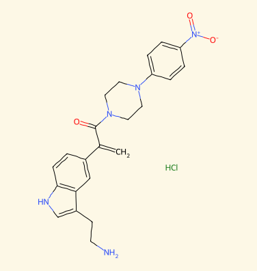 C=C(C(=O)N1CCN(c2ccc([N+](=O)[O-])cc2)CC1)c1ccc2[nH]cc(CCN)c2c1.Cl